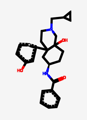 O=C(N[C@@H]1CCC2(O)CN(CC3CC3)CCC2(c2cccc(O)c2)C1)c1ccccc1